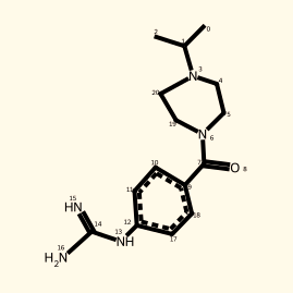 CC(C)N1CCN(C(=O)c2ccc(NC(=N)N)cc2)CC1